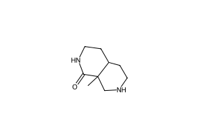 CC12CNCCC1CCNC2=O